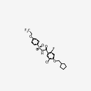 O=C(NS(=O)(=O)c1ccc(OCC(F)(F)F)cc1)c1cc(Cl)c(OCC2CCCC2)cc1F